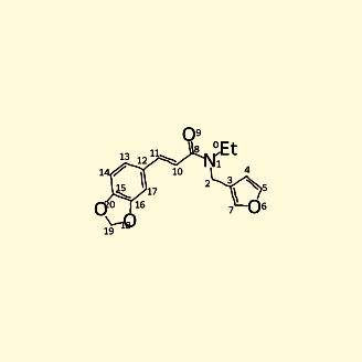 CCN(Cc1ccoc1)C(=O)C=Cc1ccc2c(c1)OCO2